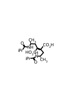 CC(C)C(=O)N[C@@H](C)C/C(C(=O)O)=C(/C[C@H](C)NC(=O)C(C)C)C(=O)O